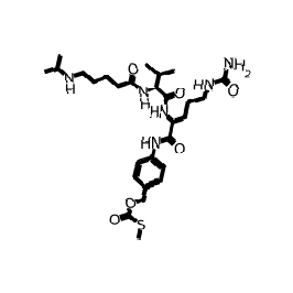 CSC(=O)OCc1ccc(NC(=O)C(CCCNC(N)=O)NC(=O)[C@@H](NC(=O)CCCCNC(C)C)C(C)C)cc1